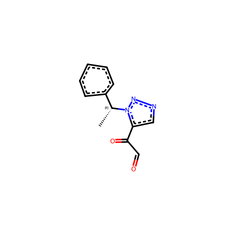 C[C@H](c1ccccc1)n1nncc1C(=O)C=O